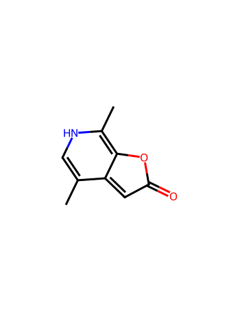 Cc1c[nH]c(C)c2oc(=O)cc1-2